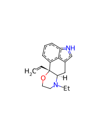 C=C[C@]12OCCN(CC)[C@@H]1Cc1c[nH]c3cccc2c13